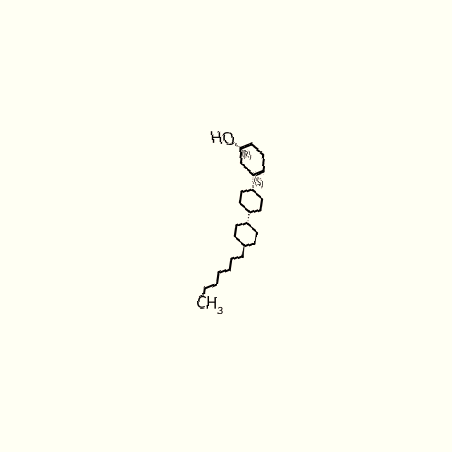 CCCCCCC[C@H]1CC[C@H](C2CCC([C@H]3CCC[C@@H](O)C3)CC2)CC1